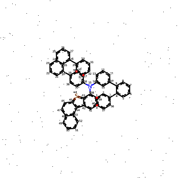 c1ccc(-c2ccccc2-c2cccc(N(c3ccc(-c4cccc5cccc(-c6ccccc6)c45)cc3)c3cccc4c3sc3ccc5ccccc5c34)c2)cc1